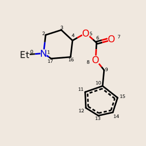 CCN1CCC(OC(=O)OCc2ccccc2)CC1